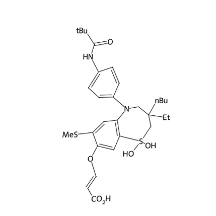 CCCCC1(CC)CN(c2ccc(NC(=O)C(C)(C)C)cc2)c2cc(SC)c(O/C=C/C(=O)O)cc2S(O)(O)C1